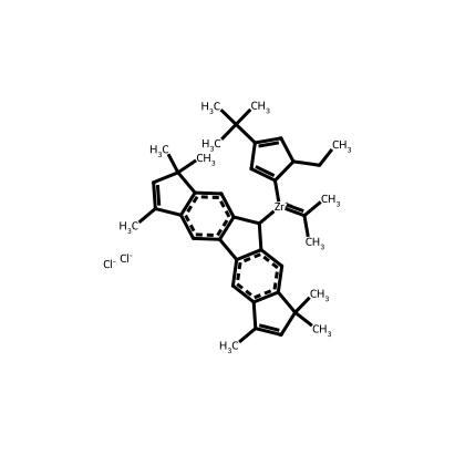 CCC1C=C(C(C)(C)C)C=[C]1[Zr+2](=[C](C)C)[CH]1c2cc3c(cc2-c2cc4c(cc21)C(C)(C)C=C4C)C(C)=CC3(C)C.[Cl-].[Cl-]